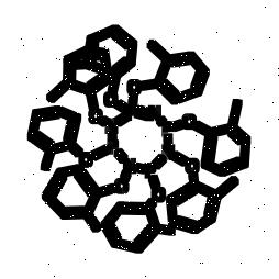 Cc1ccccc1ON1P(Oc2ccccc2C)N=P(Oc2ccccc2C)(Oc2ccccc2C)N(Oc2ccccc2C)P(Oc2ccccc2C)N(Oc2ccccc2C)P1Oc1ccccc1C